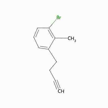 C#CCCc1cccc(Br)c1C